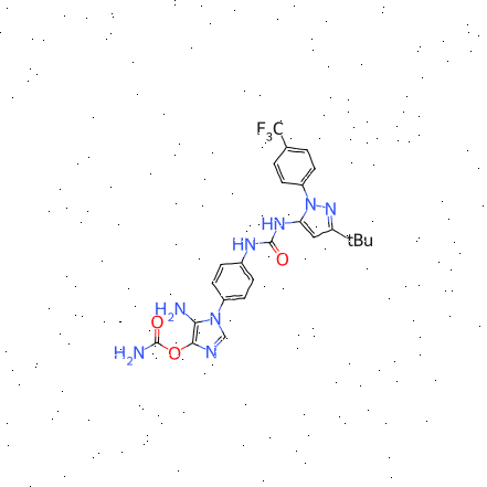 CC(C)(C)c1cc(NC(=O)Nc2ccc(-n3cnc(OC(N)=O)c3N)cc2)n(-c2ccc(C(F)(F)F)cc2)n1